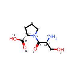 N[C@@H](CO)C(=O)N1CCC[C@H]1C(=O)O